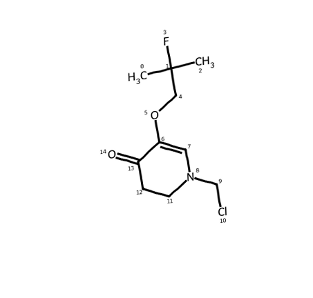 CC(C)(F)COC1=CN(CCl)CCC1=O